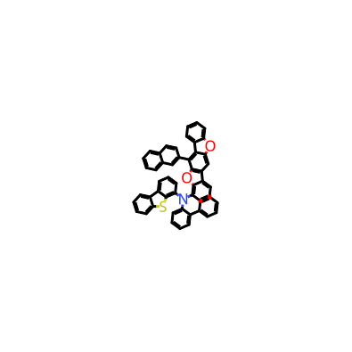 c1ccc(-c2ccccc2N(c2cccc3c2oc2c(-c4ccc5ccccc5c4)c4c(cc23)oc2ccccc24)c2cccc3c2sc2ccccc23)cc1